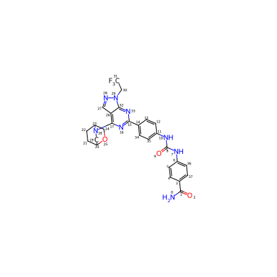 NC(=O)c1ccc(NC(=O)Nc2ccc(-c3nc(N4CC5CCC4CO5)c4cnn(CC(F)(F)F)c4n3)cc2)cc1